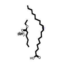 CCCCCC(=O)OCC.CCCCCCCC/C=C\CCCCCCCC(=O)O.[BaH2].[BaH2]